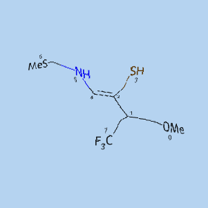 COC(/C(S)=C/NSC)C(F)(F)F